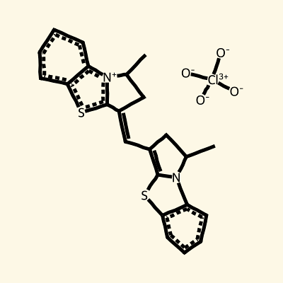 CC1CC(C=C2CC(C)[n+]3c2sc2ccccc23)=C2Sc3ccccc3N21.[O-][Cl+3]([O-])([O-])[O-]